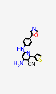 N#Cc1c(N)cc(Nc2ccc(-c3cnco3)cc2)nc1-c1ccsc1